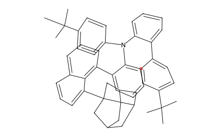 CC(C)(C)c1ccc(-c2ccccc2N(c2ccc(C(C)(C)C)cc2)c2ccccc2-c2cccc3cccc(C45CC6CC7CC(C4)C75C6)c23)cc1